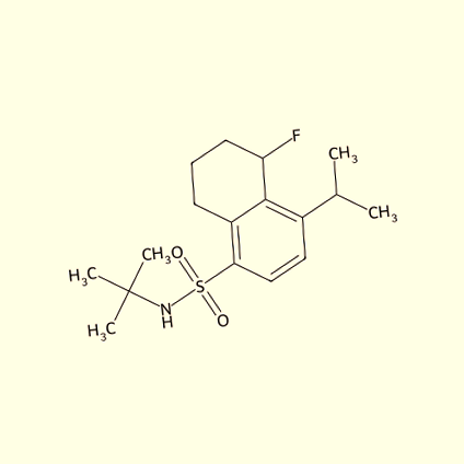 CC(C)c1ccc(S(=O)(=O)NC(C)(C)C)c2c1C(F)CCC2